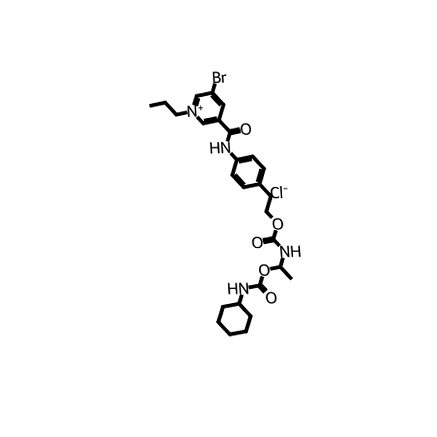 CCC[n+]1cc(Br)cc(C(=O)Nc2ccc(CCOC(=O)NC(C)OC(=O)NC3CCCCC3)cc2)c1.[Cl-]